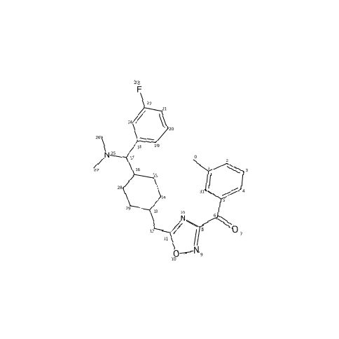 Cc1cccc(C(=O)c2noc(CC3CCC(C(c4cccc(F)c4)N(C)C)CC3)n2)c1